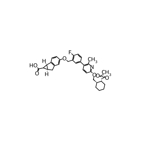 Cc1nc(OC[C@@H]2CCCC[C@H]2S(C)(=O)=O)ccc1-c1ccc(F)c(COc2ccc3c(c2)C[C@H]2C(C(=O)O)[C@@H]32)c1